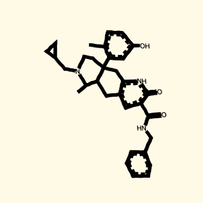 Cc1ccc(O)cc1C12CCN(CC3CC3)C(C)C1Cc1cc(C(=O)NCc3ccccc3)c(=O)[nH]c1C2